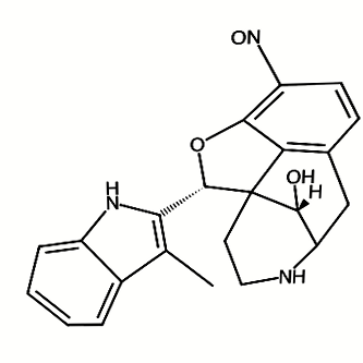 Cc1c([C@@H]2Oc3c(N=O)ccc4c3C23CCNC(C4)[C@H]3O)[nH]c2ccccc12